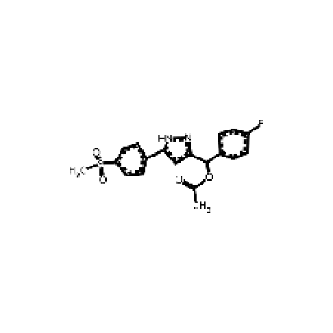 CC(=O)OC(c1ccc(F)cc1)c1cc(-c2ccc(S(C)(=O)=O)cc2)[nH]n1